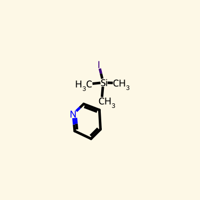 C[Si](C)(C)I.c1ccncc1